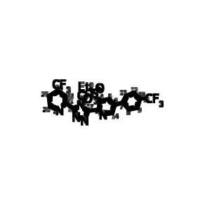 CCS(=O)(=O)c1cc(-c2ccc(C(F)(F)F)cc2)cnc1-c1nnc(-c2cc(C(F)(F)F)ccn2)n1C